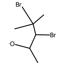 CC([O])C(Br)C(C)(C)Br